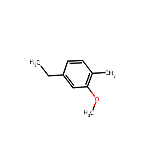 CCc1ccc(C)c(OC)c1